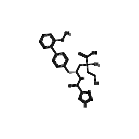 COc1ccccc1-c1ccc(C[C@H](CC(C)(CCO)C(=O)O)NC(=O)c2c[nH]nn2)cc1